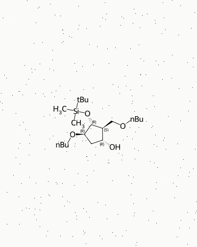 CCCCOC[C@@H]1[C@@H](O[Si](C)(C)C(C)(C)C)[C@H](OCCCC)C[C@H]1O